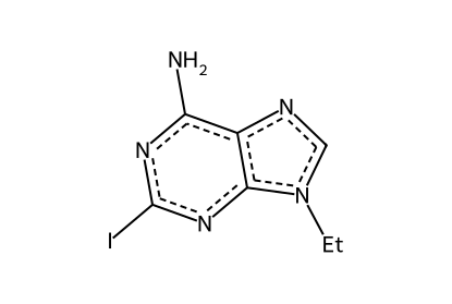 CCn1cnc2c(N)nc(I)nc21